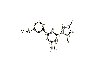 COc1cccc(-c2cc(N)nc(-n3nc(C)cc3C)n2)c1